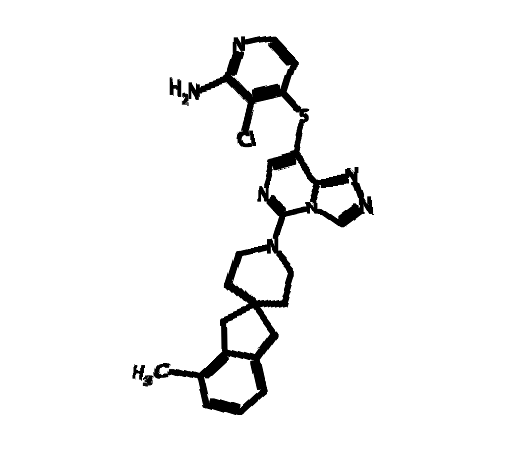 Cc1cccc2c1CC1(CCN(c3ncc(Sc4ccnc(N)c4Cl)c4nncn34)CC1)C2